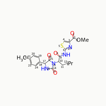 COC(=O)c1csc(NC(=O)C(CC(C)C)N2C(=O)NC(c3ccc(C)cc3)C2=O)n1